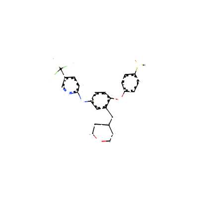 C[S+]([O-])c1ccc(Oc2ccc(Nc3ccc(C(F)(F)F)cn3)cc2CC2CCOCC2)cc1